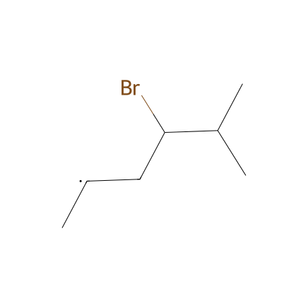 C[CH]CC(Br)C(C)C